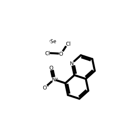 ClOCl.O=[N+]([O-])c1cccc2cccnc12.[Se]